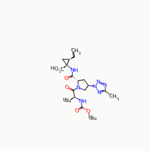 C=C[C@@H]1C[C@]1(NC(=O)[C@@H]1C[C@@H](n2nnc(C)n2)CN1C(=O)[C@@H](NC(=O)OC(C)(C)C)C(C)(C)C)C(=O)O